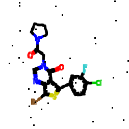 O=C(Cn1cnc2c(Br)sc(-c3ccc(Cl)c(F)c3)c2c1=O)N1CCCC1